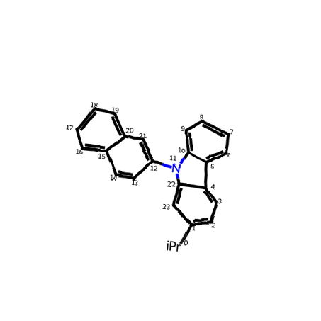 CC(C)c1ccc2c3ccccc3n(-c3ccc4ccccc4c3)c2c1